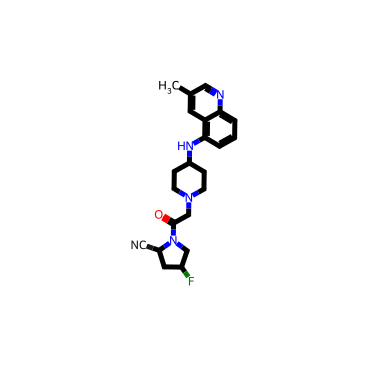 Cc1cnc2cccc(NC3CCN(CC(=O)N4CC(F)CC4C#N)CC3)c2c1